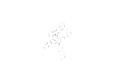 c1ccc(-c2ccc(N3c4ccc(-c5ccccc5)cc4B4c5c3cc3c(oc6ccccc63)c5-c3cccc5c6cc7ccccc7cc6n4c35)cc2)cc1